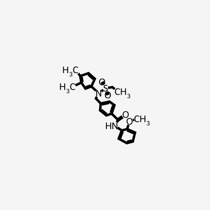 CCS(=O)(=O)N(Cc1ccc(C(=O)Nc2ccccc2OC)cc1)c1ccc(C)c(C)c1